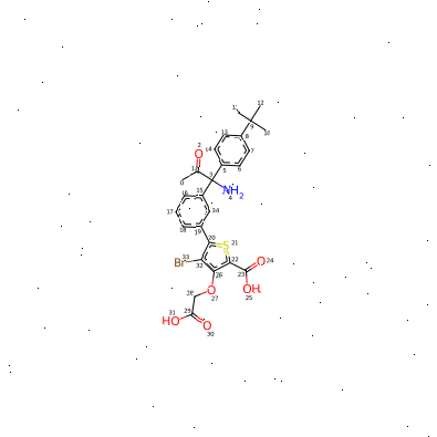 CC(=O)C(N)(c1ccc(C(C)(C)C)cc1)c1cccc(-c2sc(C(=O)O)c(OCC(=O)O)c2Br)c1